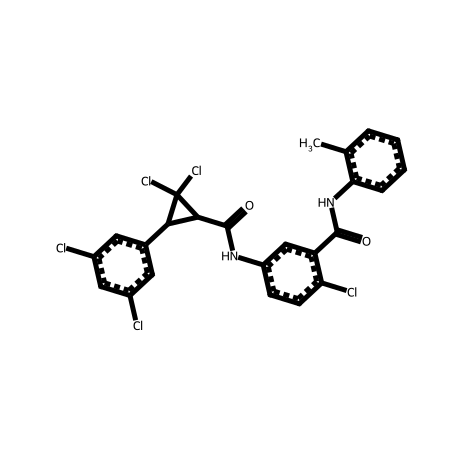 Cc1ccccc1NC(=O)c1cc(NC(=O)C2C(c3cc(Cl)cc(Cl)c3)C2(Cl)Cl)ccc1Cl